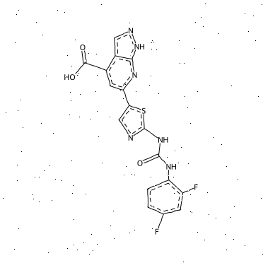 O=C(Nc1ncc(-c2cc(C(=O)O)c3cn[nH]c3n2)s1)Nc1ccc(F)cc1F